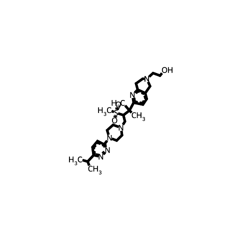 CC(C)c1ccc(N2CCN(CC(C(C)(C)c3ccc4c(n3)CCN(CCO)C4)S(C)(=O)=O)CC2)nn1